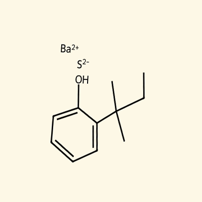 CCC(C)(C)c1ccccc1O.[Ba+2].[S-2]